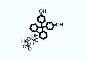 O=S(=O)(O)OS(=O)(=O)O.Oc1ccc(C2(c3ccc(O)cc3)c3ccccc3-c3ccccc32)cc1